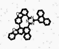 c1ccc2cc(-c3nc(-c4cc5ccccc5c5ccccc45)nc(-c4cccc5oc6ccc(-c7cccc8c7oc7ccccc78)cc6c45)n3)ccc2c1